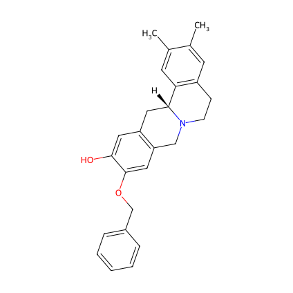 Cc1cc2c(cc1C)[C@H]1Cc3cc(O)c(OCc4ccccc4)cc3CN1CC2